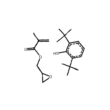 C=C(C)C(=O)OCC1CO1.CC(C)(C)c1cccc(C(C)(C)C)c1O